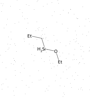 CC[CH][SiH2]OCC